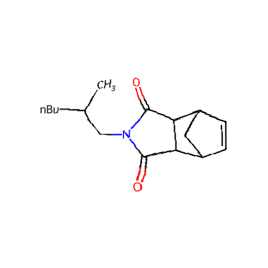 CCCCC(C)CN1C(=O)C2C3C=CC(C3)C2C1=O